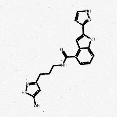 O=C(NCCCc1cc(O)[nH]n1)c1cccc2[nH]c(-c3cc[nH]n3)cc12